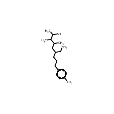 Cc1ccc(CCCC(CN)CC(C)C(C)C(C)S)cc1